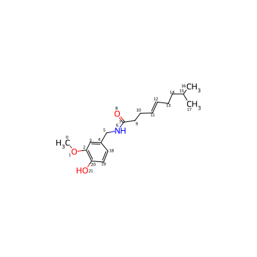 COc1cc(CNC(=O)CCC=CCCC(C)C)ccc1O